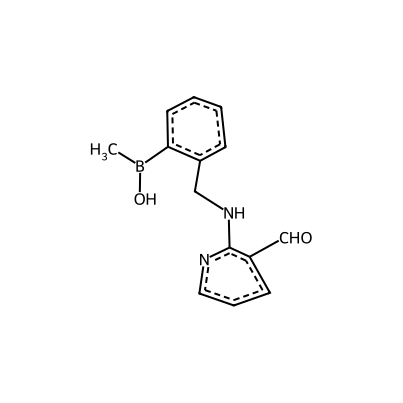 CB(O)c1ccccc1CNc1ncccc1C=O